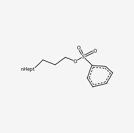 CCCCCCCCCCOS(=O)(=O)c1cc[c]cc1